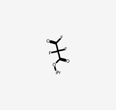 CC(C)OC(=O)C(F)(F)C(=O)F